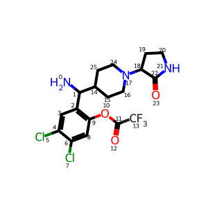 NC(c1cc(Cl)c(Cl)cc1OC(=O)C(F)(F)F)C1CCN(C2CCNC2=O)CC1